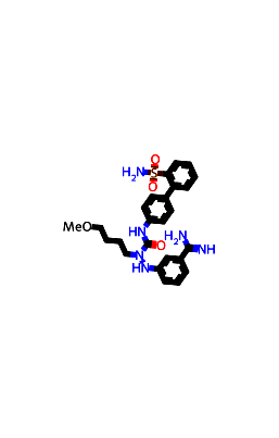 COCCCCN(Nc1cccc(C(=N)N)c1)C(=O)Nc1ccc(-c2ccccc2S(N)(=O)=O)cc1